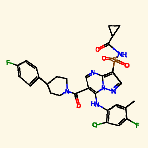 Cc1cc(Nc2c(C(=O)N3CCC(c4ccc(F)cc4)CC3)cnc3c(S(=O)(=O)NC(=O)C4CC4)cnn23)c(Cl)cc1F